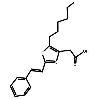 CCCCCCc1oc(/C=C/c2ccccc2)nc1CC(=O)O